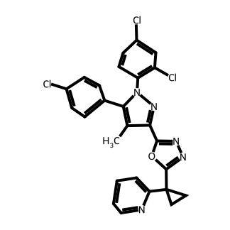 Cc1c(-c2nnc(C3(c4ccccn4)CC3)o2)nn(-c2ccc(Cl)cc2Cl)c1-c1ccc(Cl)cc1